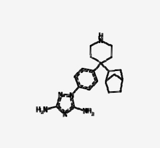 Nc1nc(N)n(-c2ccc(C3(C4CC5CCC4C5)CCNCC3)cc2)n1